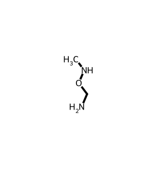 CNOCN